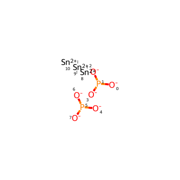 [O-]P([O-])[O-].[O-]P([O-])[O-].[Sn+2].[Sn+2].[Sn+2]